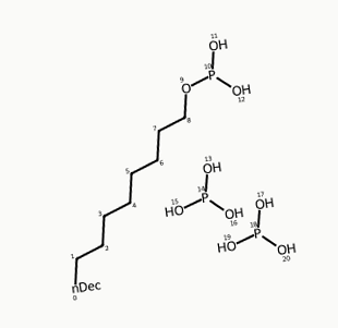 CCCCCCCCCCCCCCCCCCOP(O)O.OP(O)O.OP(O)O